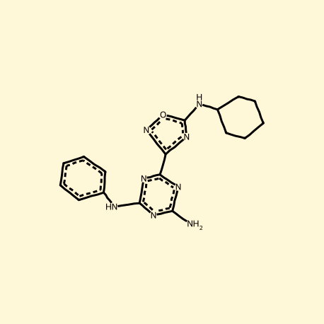 Nc1nc(Nc2ccccc2)nc(-c2noc(NC3CCCCC3)n2)n1